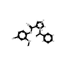 COc1cc(F)ccc1OC(=O)c1cncn1C(C)c1ccccc1